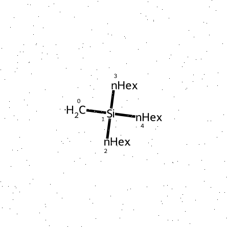 [CH2][Si](CCCCCC)(CCCCCC)CCCCCC